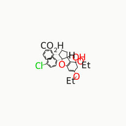 CCOC1=CC2=C([C@H]3C[C@@H](C(=O)O)[C@@H](c4ccccc4)[C@]3(c3ccc(Cl)cc3)O2)C(O)(OCC)C1